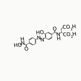 O=C(O)CC(NC(=O)c1ccc(/N=N/c2ccc(C(=O)NO)cc2)c(O)c1)C(=O)O